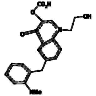 CNc1ccccc1Cc1ccc2c(c1)c(=O)c(OC(=O)O)cn2CCO